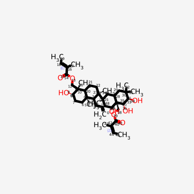 C=CCC1[C@@]2(C)CC[C@H](O)[C@](C)(COC(=O)/C(C)=C/C)C2CC[C@@]1(C)[C@@]1(C)CC2CC(C)(C)[C@@H](O)[C@H](O)[C@]2(COC(=O)/C(C)=C\C)[C@H](O)C1